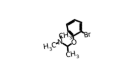 CC(Oc1ccccc1Br)N(C)C